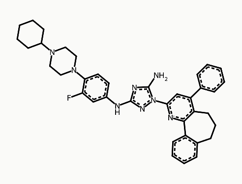 Nc1nc(Nc2ccc(N3CCN(C4CCCCC4)CC3)c(F)c2)nn1-c1cc(-c2ccccc2)c2c(n1)-c1ccccc1CCC2